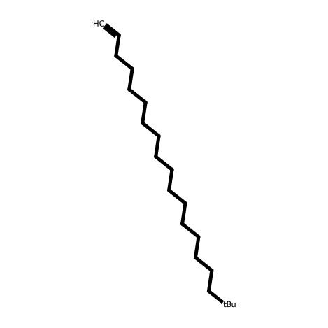 [CH]=CCCCCCCCCCCCCCCCC(C)(C)C